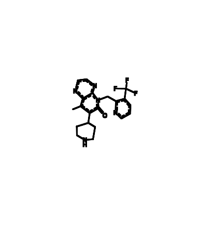 Cc1c(C2CCNCC2)c(=O)n(Cc2ncccc2C(F)(F)F)c2nccnc12